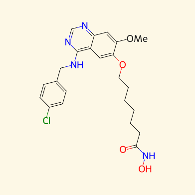 COc1cc2ncnc(NCc3ccc(Cl)cc3)c2cc1OCCCCCCC(=O)NO